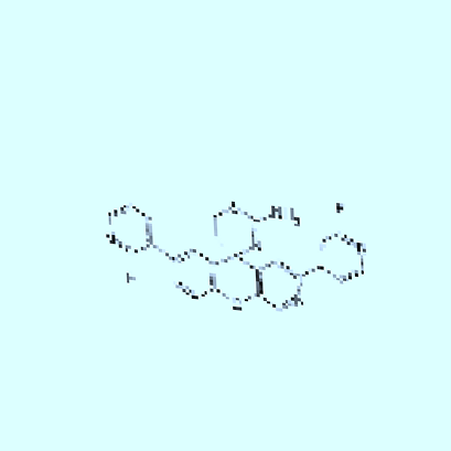 NC1=N[C@]2(CCS1)c1cc(-c3cccnc3F)ccc1Oc1cnc(-c3ccnc(F)c3)cc12